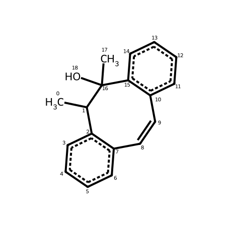 CC1c2ccccc2C=Cc2ccccc2C1(C)O